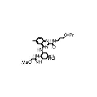 COCC(=N)N[C@@H]1CCCC[C@@H]1Nc1nc(C(=O)NCCCOC(C)C)nc2ccc(C)cc12.Cl.Cl